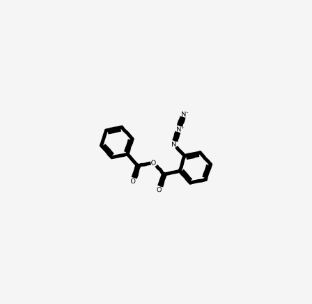 [N-]=[N+]=Nc1ccccc1C(=O)OC(=O)c1ccccc1